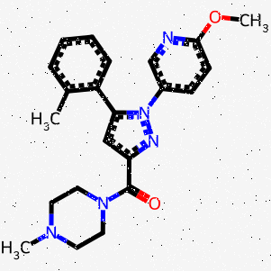 COc1ccc(-n2nc(C(=O)N3CCN(C)CC3)cc2-c2ccccc2C)cn1